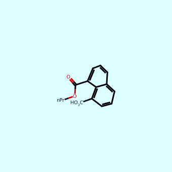 CCCOC(=O)c1cccc2cccc(C(=O)O)c12